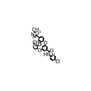 Cc1nnc(-c2ccc(Oc3cc(OC4CCN(C)C4=O)cc(C(=O)Nc4ccc(Cl)cn4)c3)cc2)o1